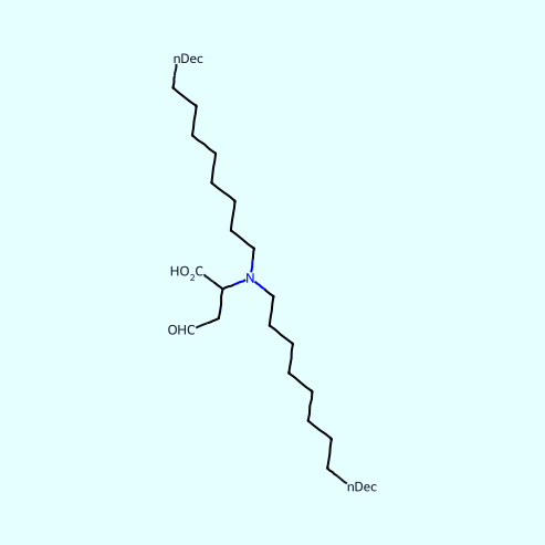 CCCCCCCCCCCCCCCCCCN(CCCCCCCCCCCCCCCCCC)C(CC=O)C(=O)O